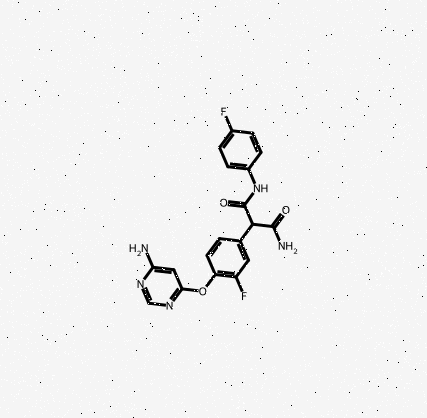 NC(=O)C(C(=O)Nc1ccc(F)cc1)c1ccc(Oc2cc(N)ncn2)c(F)c1